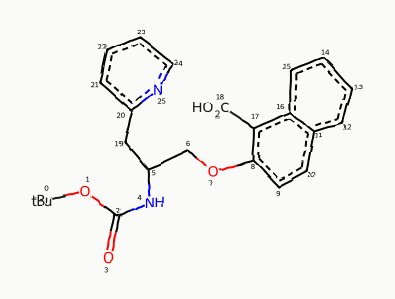 CC(C)(C)OC(=O)NC(COc1ccc2ccccc2c1C(=O)O)Cc1ccccn1